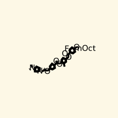 CCCCCCCCOc1ccc(C(=O)Oc2ccc(OC(=O)c3ccc(OCC[n+]4ccc(N(C)C)cc4)cc3)c(C)c2)c(F)c1